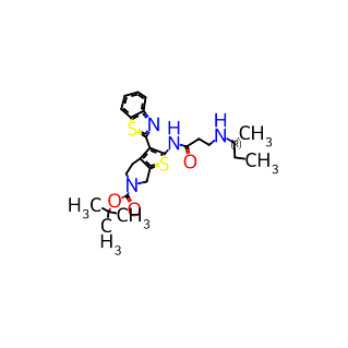 CC[C@@H](C)NCCC(=O)Nc1sc2c(c1-c1nc3ccccc3s1)CCN(C(=O)OC(C)(C)C)C2